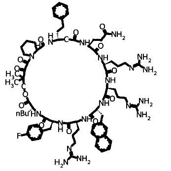 CCCC[C@H]1NC(=O)[C@H](Cc2ccc(F)cc2)NC(=O)[C@H](CCCN=C(N)N)NC(=O)[C@@H](Cc2ccc3ccccc3c2)NC(=O)[C@H](CCCN=C(N)N)NC(=O)[C@H](CCCN=C(N)N)NC(=O)[C@H](CCC(N)=O)NC(=O)C[C@@H](CCc2ccccc2)NC(=O)[C@@H]2CCCCN2C(=O)C(=O)C(C)(C)COC1=O